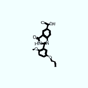 C=CCOc1ccc(OC)c(-c2nc3ccc(C(=O)O)cc3c(=O)[nH]2)c1